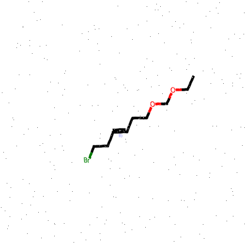 CCOCOCC/C=C/CCBr